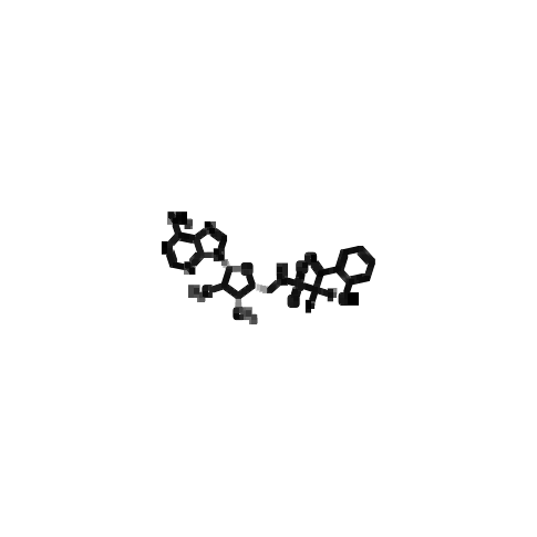 CC1[C@@H](C)[C@@H](CNS(=O)(=O)C(F)(F)C(=O)c2ccccc2O)O[C@H]1n1cnc2c(N)ncnc21